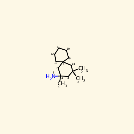 CC1(C)CC(C)(N)CC2(CCCCC2)C1